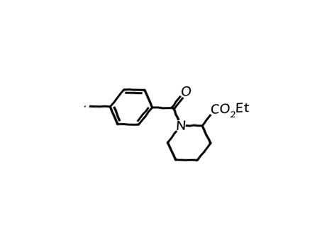 [CH2]c1ccc(C(=O)N2CCCCC2C(=O)OCC)cc1